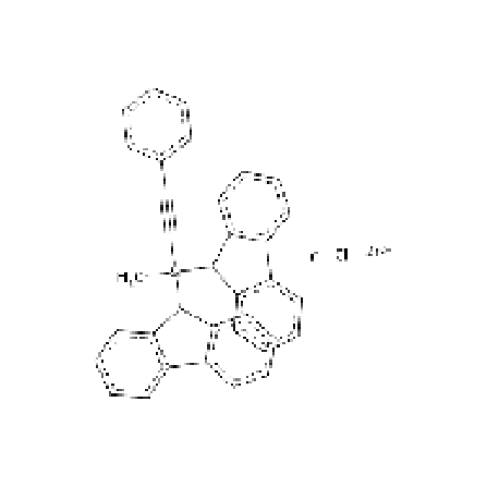 C[Si](C#Cc1ccccc1)(C1c2ccccc2-c2ccccc21)C1c2ccccc2-c2ccccc21.[Cl-].[Cl-].[Zr+2]